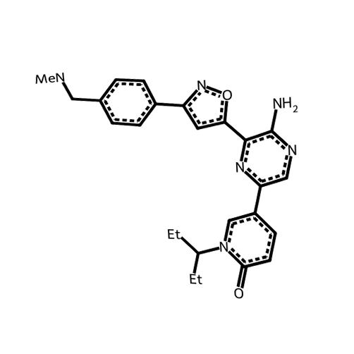 CCC(CC)n1cc(-c2cnc(N)c(-c3cc(-c4ccc(CNC)cc4)no3)n2)ccc1=O